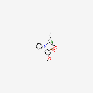 CCCCC1(Br)CN(c2ccccc2)c2ccc(OC)cc2S(=O)(=O)C1(C)C